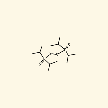 CC(C)P(=S)(SSP(=S)(C(C)C)C(C)C)C(C)C